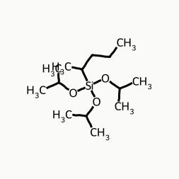 CCCC(C)[Si](OC(C)C)(OC(C)C)OC(C)C